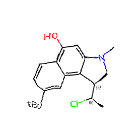 C[C@@H](Cl)[C@@H]1CN(C)c2cc(O)c3ccc(C(C)(C)C)cc3c21